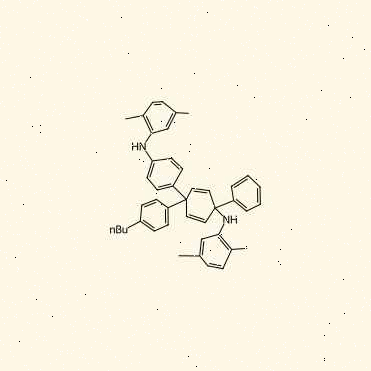 CCCCc1ccc(C2(c3ccc(Nc4cc(C)ccc4C)cc3)C=CC(Nc3cc(C)ccc3C)(c3ccccc3)C=C2)cc1